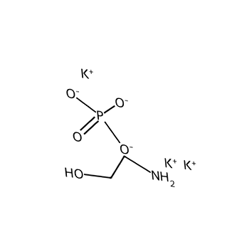 NCCO.O=P([O-])([O-])[O-].[K+].[K+].[K+]